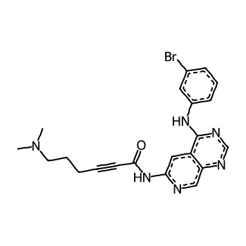 CN(C)CCCC#CC(=O)Nc1cc2c(Nc3cccc(Br)c3)ncnc2cn1